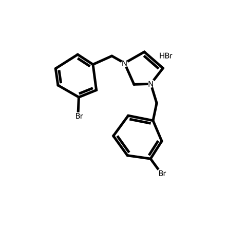 Br.Brc1cccc(CN2C=CN(Cc3cccc(Br)c3)C2)c1